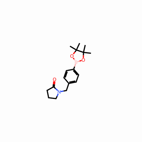 CC1(C)OB(c2ccc(CN3CCCC3=O)cc2)OC1(C)C